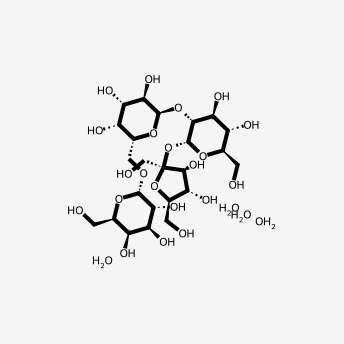 O.O.O.O.OC[C@H]1O[C@H](OC[C@H]2O[C@H](O[C@H]3[C@@H](O[C@]4(CO)O[C@H](CO)[C@@H](O)[C@@H]4O)O[C@H](CO)[C@@H](O)[C@@H]3O)[C@H](O)[C@@H](O)[C@H]2O)[C@H](O)[C@@H](O)[C@H]1O